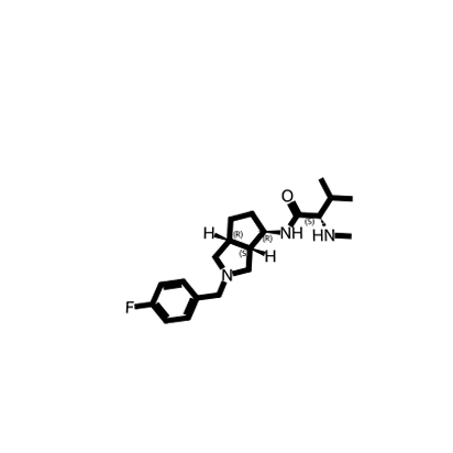 CN[C@H](C(=O)N[C@@H]1CC[C@H]2CN(Cc3ccc(F)cc3)C[C@H]21)C(C)C